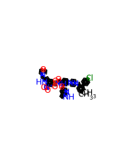 CC1(C)CCC(CN2CCN(c3ccc(C(=O)NS(=O)(=O)c4cc5c(c([N+](=O)[O-])c4)NC(CN4CCOCC4)C5)c(Oc4cnc5[nH]ccc5c4)c3)CC2)=C(c2ccc(Cl)cc2)C1